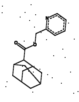 O=C(OCc1ccccn1)C1[C]2CC3CC(C2)CC1C3